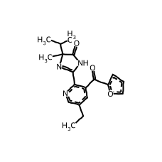 CCc1cnc(C2=NC(C)(C(C)C)C(=O)N2)c(C(=O)c2ccco2)c1